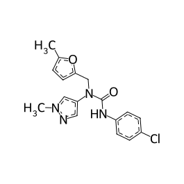 Cc1ccc(CN(C(=O)Nc2ccc(Cl)cc2)c2cnn(C)c2)o1